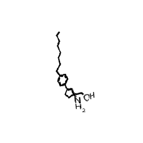 CCCCCCCCc1ccc(C2=CC(N)(CO)CC2)cc1